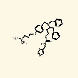 CN(C)CCCOc1ccc(CN(Cc2ccccc2)C(CCOC(=O)NCc2cncs2)Cc2ccccc2)cc1